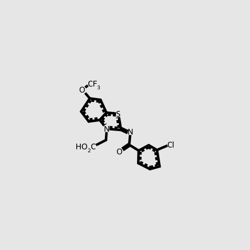 O=C(O)Cn1c(=NC(=O)c2cccc(Cl)c2)sc2cc(OC(F)(F)F)ccc21